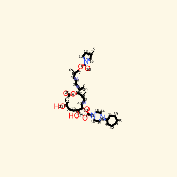 C/C(=C\C=C\[C@@H](C)COC(=O)N1CC[C@@H](C)C1)[C@H]1OC(=O)C[C@@H](O)CC[C@](C)(O)[C@H](OC(=O)N2CCN(C3CCCCCC3)CC2)/C=C/[C@@H]1C